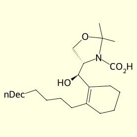 CCCCCCCCCCCCCCC1=C([C@@H](O)[C@@H]2COC(C)(C)N2C(=O)O)CCCC1